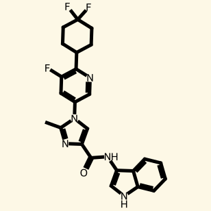 Cc1nc(C(=O)Nc2c[nH]c3ccccc23)cn1-c1cnc(C2CCC(F)(F)CC2)c(F)c1